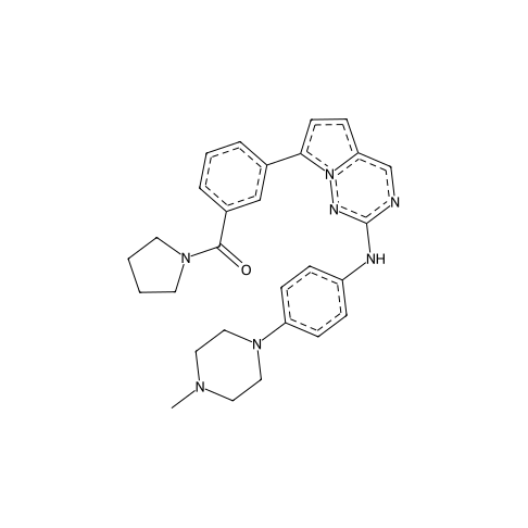 CN1CCN(c2ccc(Nc3ncc4ccc(-c5cccc(C(=O)N6CCCC6)c5)n4n3)cc2)CC1